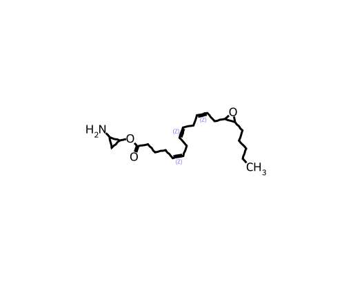 CCCCCC1OC1C/C=C\C/C=C\C/C=C\CCCC(=O)OC1CC1N